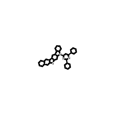 c1ccc(-c2cc(-n3c4ccccc4c4cc5c(cc43)sc3cc4ccccc4cc35)nc(-c3ccccc3)n2)cc1